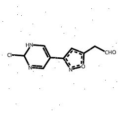 O=CCc1cc(C2=CNC(Cl)N=C2)no1